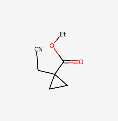 CCOC(=O)C1(CC#N)CC1